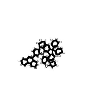 c1ccc(-c2ccc(-c3cc4ccccc4c4ccccc34)cc2N(c2ccc3oc4ccccc4c3c2)c2cccc3c2-c2ccccc2C3(c2ccccc2)c2ccccc2)cc1